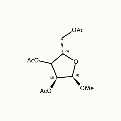 CO[C@@H]1O[C@@H](COC(C)=O)C(OC(C)=O)[C@@H]1OC(C)=O